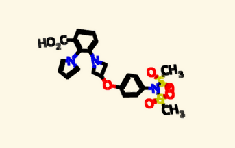 CS(=O)(=O)N(c1ccc(OC2CN(c3cccc(C(=O)O)c3-n3cccc3)C2)cc1)S(C)(=O)=O